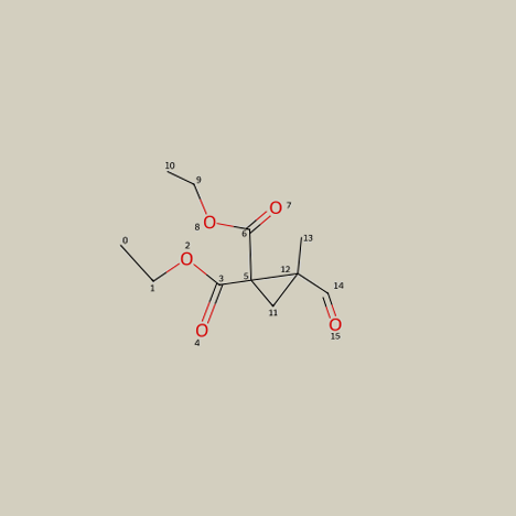 CCOC(=O)C1(C(=O)OCC)CC1(C)C=O